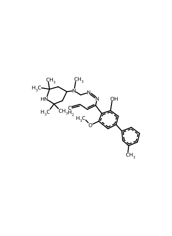 C=C/C=C(\N=N/CN(C)C1CC(C)(C)NC(C)(C)C1)c1c(O)cc(-c2cccc(C)c2)cc1OC